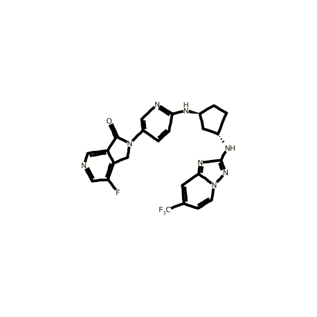 O=C1c2cncc(F)c2CN1c1ccc(N[C@H]2CC[C@H](Nc3nc4cc(C(F)(F)F)ccn4n3)C2)nc1